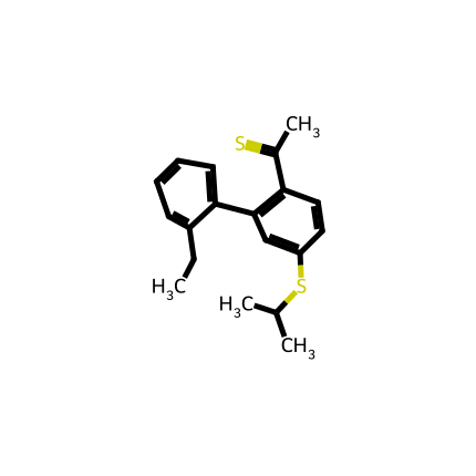 CCc1ccccc1-c1cc(SC(C)C)ccc1C(C)=S